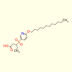 CCCCCCCCCCCCOc1ccc(S(=O)(=O)C(CC)CC(=O)O)cn1